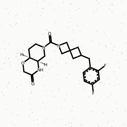 O=C1CO[C@H]2CCN(C(=O)N3CC4(CC(Cc5ccc(F)cc5F)C4)C3)C[C@H]2N1